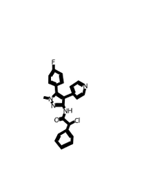 Cn1nc(NC(=O)C(Cl)c2ccccc2)c(-c2ccncc2)c1-c1ccc(F)cc1